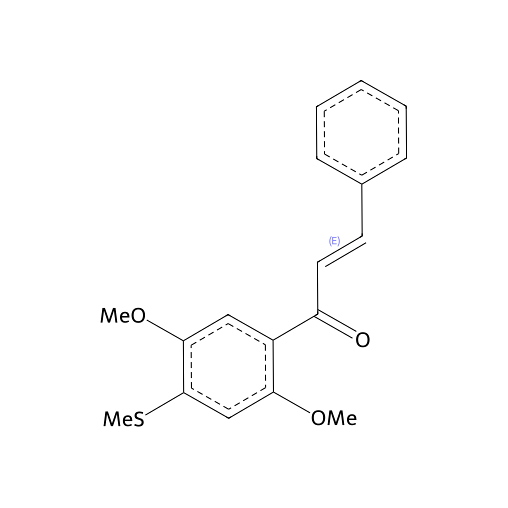 COc1cc(C(=O)/C=C/c2ccccc2)c(OC)cc1SC